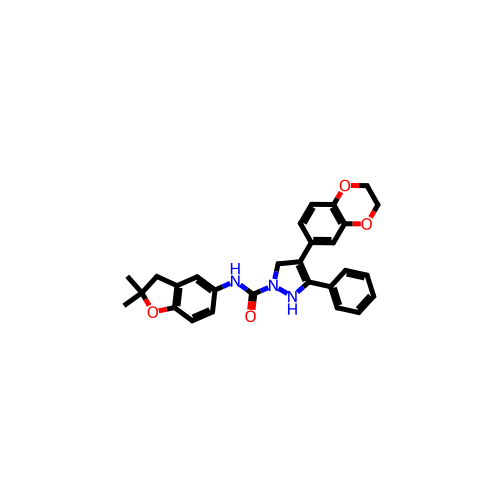 CC1(C)Cc2cc(NC(=O)N3CC(c4ccc5c(c4)OCCO5)=C(c4ccccc4)N3)ccc2O1